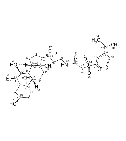 CC[C@@H]1C2C[C@H](O)CC[C@]2(C)[C@H]2CC[C@]3(C)C([C@H](C)CCNC(=O)NS(=O)(=O)c4cccc(N(C)C)c4)CC[C@H]3C2[C@@H]1O